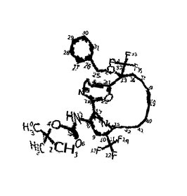 CC(C)(C)OC(=O)Nc1cc(C(F)(F)F)c2nc1-c1nnc(o1)C(OCc1ccccc1)(C(F)(F)F)CCC=CCCC2